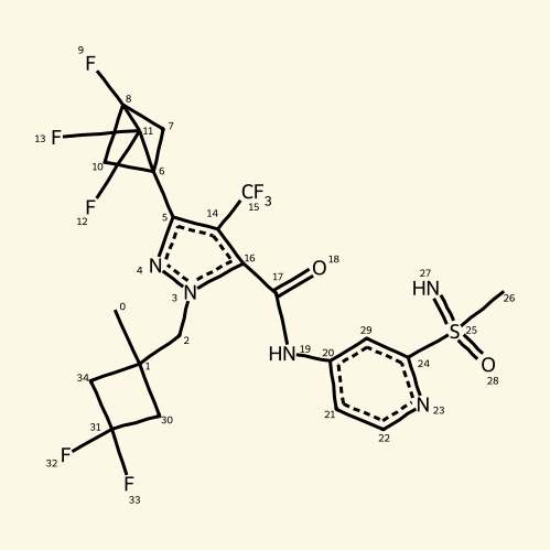 CC1(Cn2nc(C34CC(F)(C3)C4(F)F)c(C(F)(F)F)c2C(=O)Nc2ccnc(S(C)(=N)=O)c2)CC(F)(F)C1